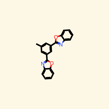 Cc1cc(-c2nc3ccccc3o2)cc(-c2nc3ccccc3o2)c1